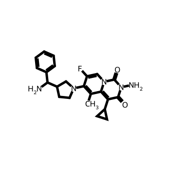 Cc1c(N2CCC(C(N)c3ccccc3)C2)c(F)cn2c(=O)n(N)c(=O)c(C3CC3)c12